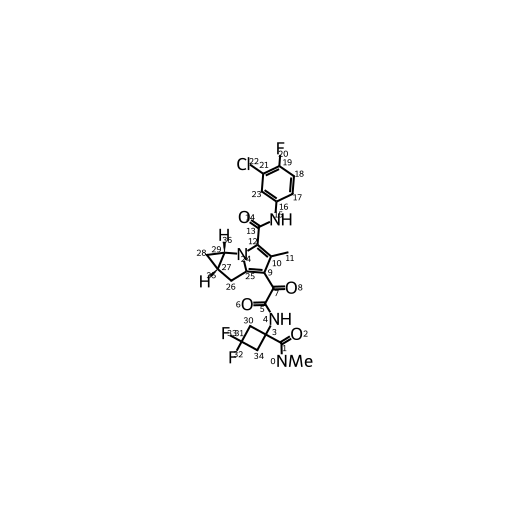 CNC(=O)C1(NC(=O)C(=O)c2c(C)c(C(=O)Nc3ccc(F)c(Cl)c3)n3c2C[C@@H]2C[C@@H]23)CC(F)(F)C1